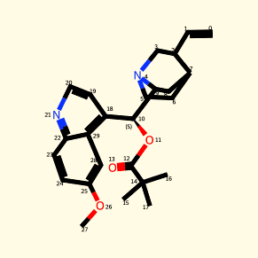 C=CC1CN2CCC1CC2[C@@H](OC(=O)C(C)(C)C)c1ccnc2ccc(OC)cc12